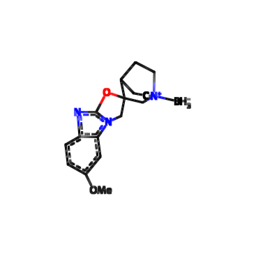 [BH3-][N+]12CCC(CC1)C1(Cn3c(nc4ccc(OC)cc43)O1)C2